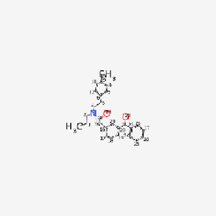 CCCN(CCc1ccc(C)cc1)C(=O)Cc1cccc(C(=O)c2ccccc2)c1